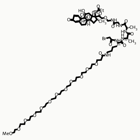 CCC(=O)OC1(C(=O)COCNC(=O)CNC(=O)[C@H](C)NC(=O)[C@H](C)NC(=O)[C@H](CCCCNC(=O)CCOCCOCCOCCOCCOCCOCCOCCOCCOCCOCCOCCOC)NC(=O)CBr)[C@@H](C)C[C@H]2[C@@H]3CCC4=CC(=O)C=C[C@]4(C)[C@@]3(Cl)[C@@H](O)C[C@@]21C